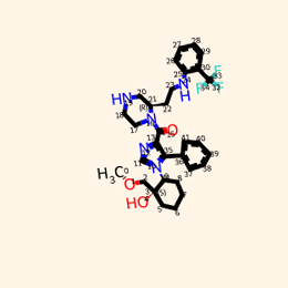 COC[C@]1(O)CCCC[C@H]1n1cnc(C(=O)N2CCNC[C@H]2CCNc2ccccc2C(F)(F)F)c1-c1ccccc1